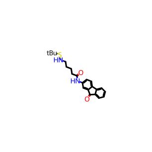 CC(C)(C)SNCCCCC(=O)Nc1ccc2c(c1)C(=O)c1ccccc1-2